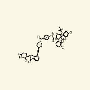 CC(C)(C)C[C@@H]1N[C@@H](C(=O)NC23CCC(C(=O)N4CCC(C#Cc5cccc6c5CN(C5CCC(=O)NC5=O)C6=O)CC4)(CC2)CC3)[C@H](c2cccc(Cl)c2F)[C@]12C(=O)Nc1cc(Cl)ccc12